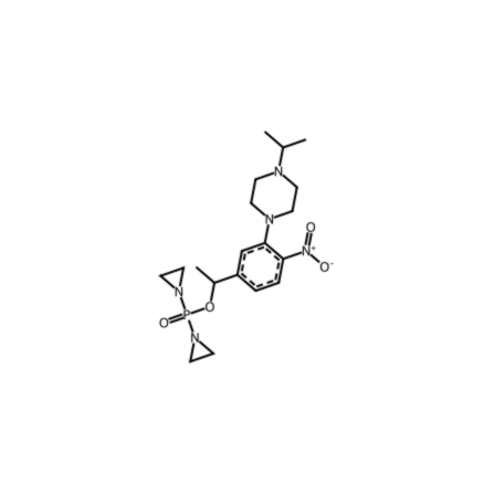 CC(OP(=O)(N1CC1)N1CC1)c1ccc([N+](=O)[O-])c(N2CCN(C(C)C)CC2)c1